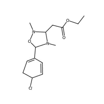 CCOC(=O)CC1N(C)OC(C2=CCC(Cl)C=C2)N1C